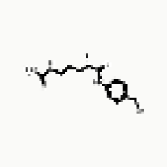 C[C@@H](CCCNC(N)=O)C(=O)Nc1ccc(CBr)cc1